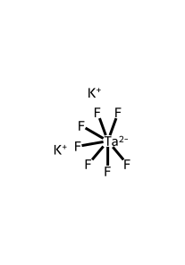 [F][Ta-2]([F])([F])([F])([F])([F])[F].[K+].[K+]